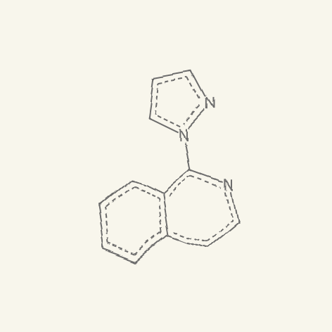 c1ccc2c(-n3cccn3)nccc2c1